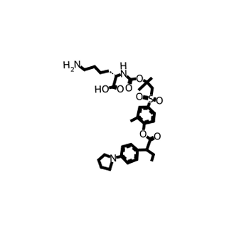 CCC(C(=O)Oc1ccc(S(=O)(=O)CC(C)(C)OC(=O)N[C@@H](CCCCN)C(=O)O)cc1C)c1ccc(N2CCCC2)cc1